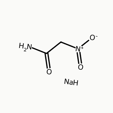 NC(=O)C[N+](=O)[O-].[NaH]